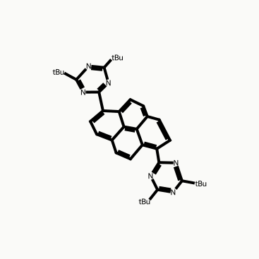 CC(C)(C)c1nc(-c2ccc3ccc4c(-c5nc(C(C)(C)C)nc(C(C)(C)C)n5)ccc5ccc2c3c54)nc(C(C)(C)C)n1